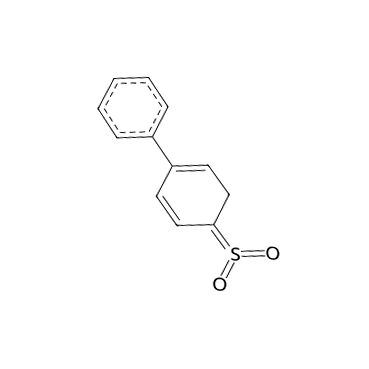 O=S(=O)=C1C=CC(c2ccccc2)=CC1